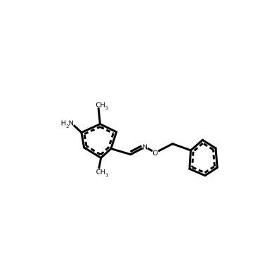 Cc1cc(C=NOCc2ccccc2)c(C)cc1N